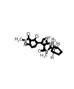 Cn1nc2ccc(-c3c[nH]c4nc(N5[C@H]6CC[C@@H]5[C@H](N)C6)n(C)c(=O)c34)c(Cl)c2c1Cl